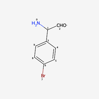 NC([C]=O)c1ccc(Br)cc1